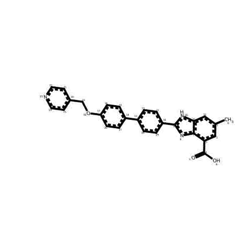 Cc1cc(C(=O)O)c2nc(-c3ccc(-c4ccc(OCc5ccncc5)cc4)cc3)[nH]c2c1